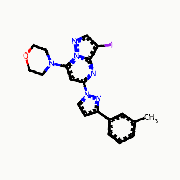 Cc1cccc(-c2ccn(-c3cc(N4CCOCC4)n4ncc(I)c4n3)n2)c1